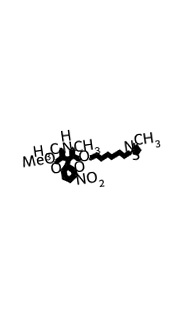 COC(=O)C1=C(C)NC(C)=C(C(=O)OCCCCCCCc2nc(C)cs2)C1c1cccc([N+](=O)[O-])c1